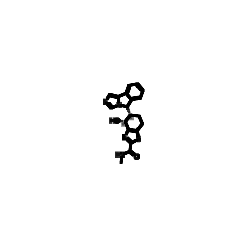 CNC(=O)c1nc2c(s1)CC[C@@H](C1c3ccccc3-c3cncn31)[C@H]2O